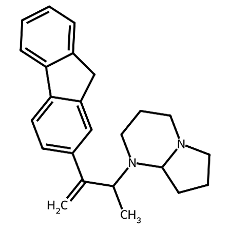 C=C(c1ccc2c(c1)Cc1ccccc1-2)C(C)N1CCCN2CCCC21